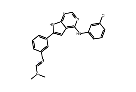 CN(C)/C=N/c1cccc(-c2cc3c(Nc4cccc(Cl)c4)ncnc3[nH]2)c1